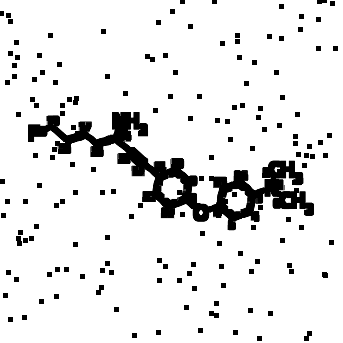 CN(C)c1ccc(Oc2ccc(C#C/C(N)=C/C=C/CF)cc2)cc1